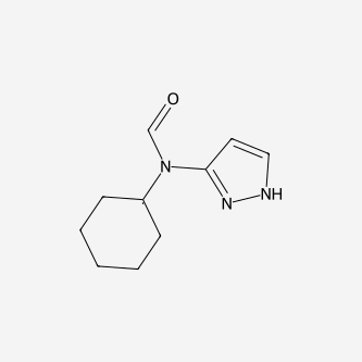 O=CN([C]1CCCCC1)c1cc[nH]n1